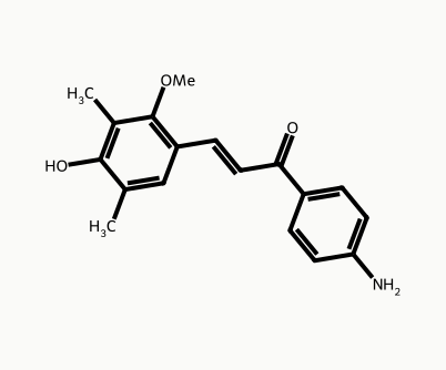 COc1c(/C=C/C(=O)c2ccc(N)cc2)cc(C)c(O)c1C